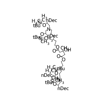 CCCCCCCCCCC(CN(CCCCCCOC(=O)CC(C)(O)CC(=O)OCCCCCCN(CC(CCCCCCCCCC)O[Si](C)(C)C(C)(C)C)CC(CCCCCCCCCC)O[Si](C)(C)C(C)(C)C)CC(CCCCCCCCCC)O[Si](C)(C)C(C)(C)C)O[Si](C)(C)C(C)(C)C